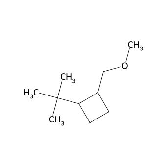 COCC1CCC1C(C)(C)C